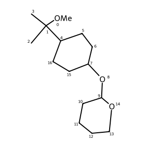 COC(C)(C)C1CCC(OC2CCCCO2)CC1